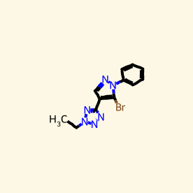 CCn1nnc(-c2cnn(-c3ccccc3)c2Br)n1